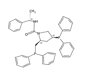 C[C@H](NC(=O)N1C[C@@H](P(c2ccccc2)c2ccccc2)C[C@H]1CP(c1ccccc1)c1ccccc1)c1ccccc1